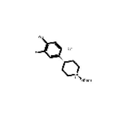 CCCCC[Si@H]1CC[C@H](c2cc[c]([Zn+])c(F)c2)CC1.[Cl-]